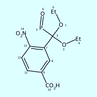 CCOC(OCC)(P=O)c1cc(C(=O)O)ccc1[N+](=O)[O-]